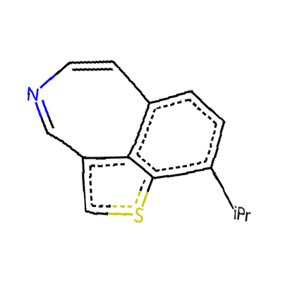 CC(C)c1ccc2c3c(csc13)C=NC=C2